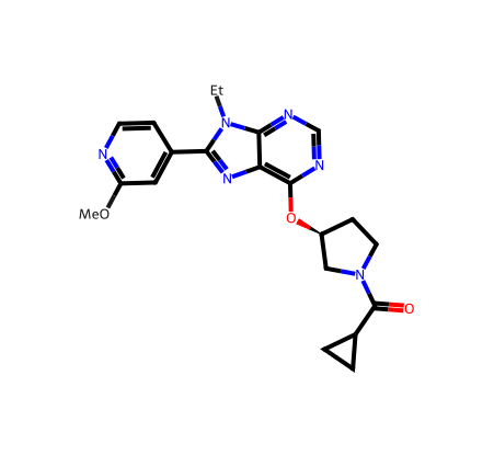 CCn1c(-c2ccnc(OC)c2)nc2c(O[C@H]3CCN(C(=O)C4CC4)C3)ncnc21